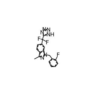 Cc1nn(Cc2ccccc2F)c2cc(C(F)(F)c3nnn[nH]3)ccc12